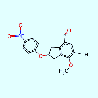 COc1c(C)cc(C=O)c2c1CC(Oc1ccc([N+](=O)[O-])cc1)C2